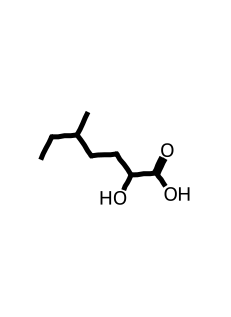 CCC(C)CCC(O)C(=O)O